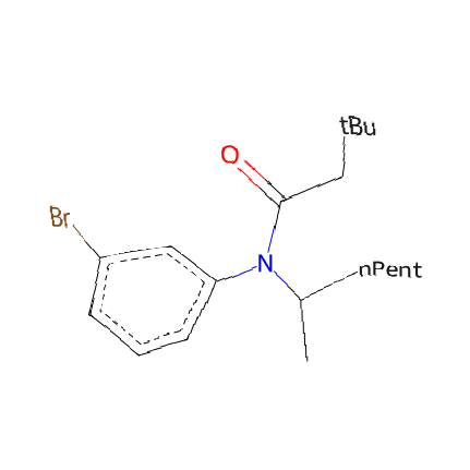 CCCCCC(C)N(C(=O)CC(C)(C)C)c1cccc(Br)c1